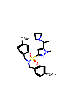 COc1ccc(CN(Cc2ccc(OC)cc2)S(=O)(=O)c2cc(C(C)N3CCC3)n(C)n2)cc1